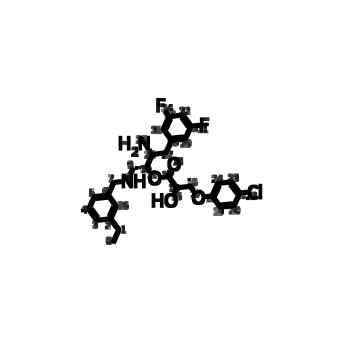 CCc1cccc(CNC[C@@H](OC(=O)C(O)COc2ccc(Cl)cc2)[C@@H](N)Cc2cc(F)cc(F)c2)c1